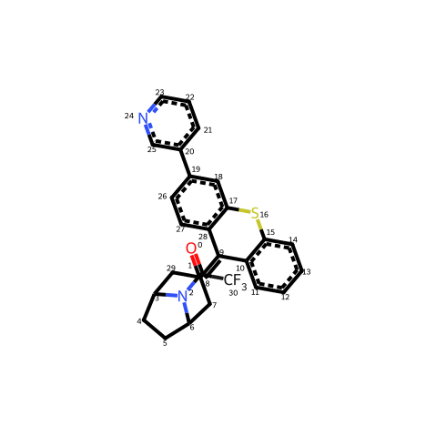 O=C(N1C2CCC1CC(=C1c3ccccc3Sc3cc(-c4cccnc4)ccc31)C2)C(F)(F)F